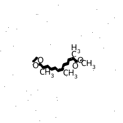 COC(=O)C(C)=CC=CC(C)=CC=CC=C(C)C1OCCO1